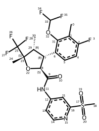 Cc1c(F)ccc([C@@H]2[C@@H](C(=O)Nc3ccnc(S(C)(=O)=O)c3)O[C@](C)(C(F)(F)F)[C@@H]2C)c1OC(F)F